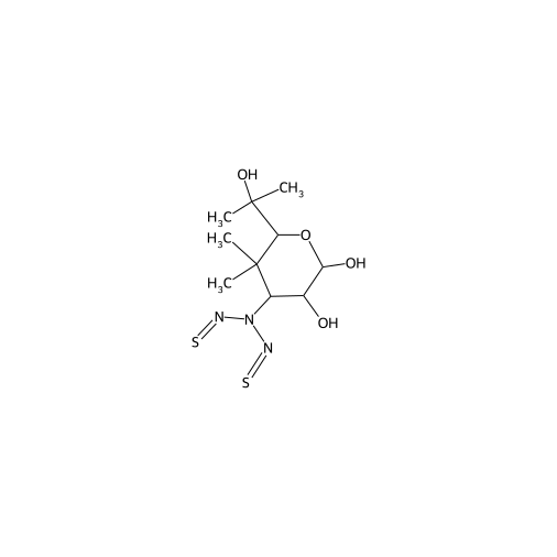 CC(C)(O)C1OC(O)C(O)C(N(N=S)N=S)C1(C)C